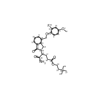 COc1ccc(OCc2cccc3c2CN(C(CCC(=O)OCC[Si](C)(C)C)C(N)=O)C3=O)c(F)c1